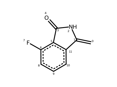 C=C1NC(=O)c2c(F)cccc21